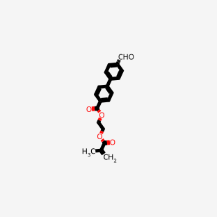 C=C(C)C(=O)OCCOC(=O)c1ccc(-c2ccc(C=O)cc2)cc1